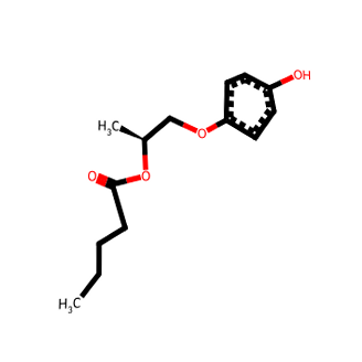 CCCCC(=O)O[C@@H](C)COc1ccc(O)cc1